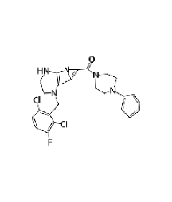 O=C(c1c2c3c(n1-2)NCCN3Cc1c(Cl)ccc(F)c1Cl)N1CCN(c2ccccc2)CC1